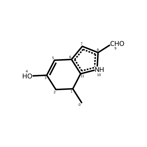 CC1CC(O)=Cc2cc(C=O)[nH]c21